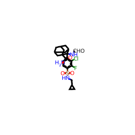 NC(=O)C12CC3CC(CC(C3)C1(NC=O)c1ccc(S(=O)(=O)NCC3CC3)c(F)c1Cl)C2